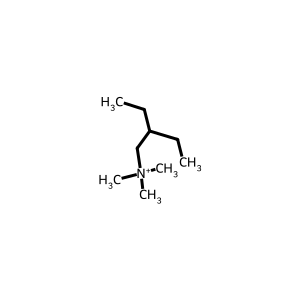 CCC(CC)C[N+](C)(C)C